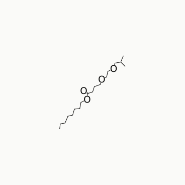 CCCCCCCCOC(=O)CCCOCCOCC(C)C